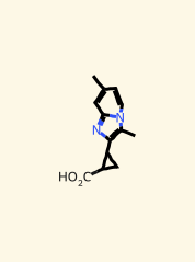 Cc1ccn2c(C)c(C3CC3C(=O)O)nc2c1